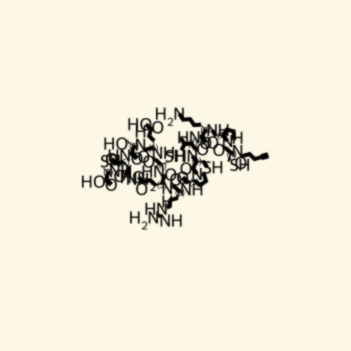 C#CCCC(=O)N[C@@H](CS)C(=O)N1CCC[C@H]1C(=O)N[C@@H](CCCCN)C(=O)N[C@H](C(=O)N[C@@H](CS)C(=O)N1CCC[C@H]1C(=O)N[C@@H](CCCNC(=N)N)C(=O)N[C@@H](CCC(=O)O)C(=O)N[C@@H](CS)C(=O)N[C@@H](CCC(=O)O)C(=O)N[C@@H](CO)C(=O)N[C@@H](CC(N)=O)C(=O)N[C@@H](CS)C(=O)O)C(C)C